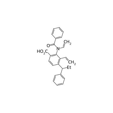 C=Cc1c(C(CC)c2ccccc2)ccc(C(=O)O)c1N(C=C)C(=O)c1ccccc1